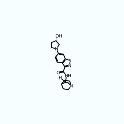 O=C(N[C@@H]1CN2CCC1CC2)c1nsc2cc(N3CC[C@H](O)C3)ccc12